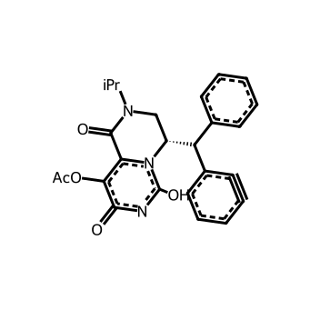 CC(=O)Oc1c2n(c(O)nc1=O)[C@@H](C(c1c#cccc1)c1ccccc1)CN(C(C)C)C2=O